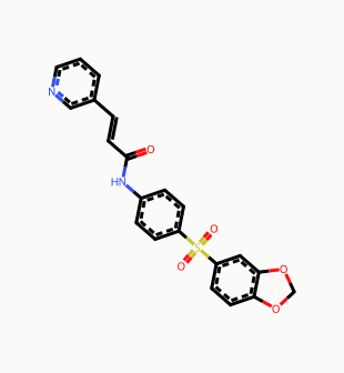 O=C(C=Cc1cccnc1)Nc1ccc(S(=O)(=O)c2ccc3c(c2)OCO3)cc1